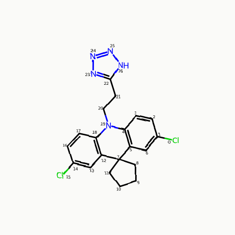 Clc1ccc2c(c1)C1(CCCC1)c1cc(Cl)ccc1N2CCc1nnn[nH]1